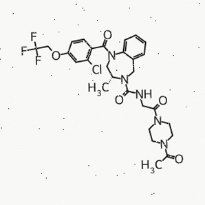 CC(=O)N1CCN(C(=O)CNC(=O)N2Cc3ccccc3N(C(=O)c3ccc(OCC(F)(F)F)cc3Cl)C[C@H]2C)CC1